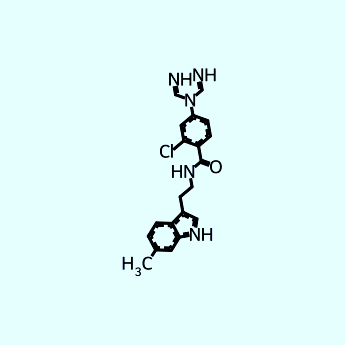 Cc1ccc2c(CCNC(=O)c3ccc(N(C=N)C=N)cc3Cl)c[nH]c2c1